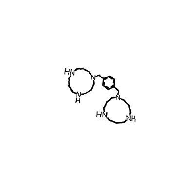 c1cc(CN2CCCNCCCNCCC2)ccc1CN1CCCNCCCNCCC1